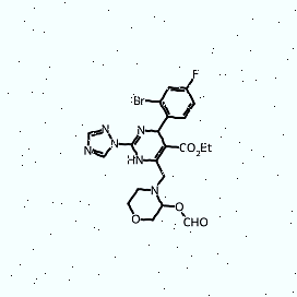 CCOC(=O)C1=C(CN2CCOCC2OC=O)NC(n2cncn2)=NC1c1ccc(F)cc1Br